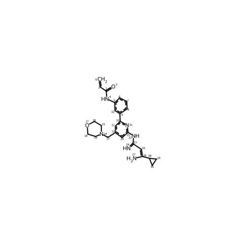 C=CC(=O)Nc1cccc(-c2cc(CN3CCOCC3)cc(NC(=N)/C=C(\N)C3CC3)n2)c1